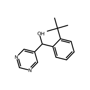 CC(C)(C)c1ccccc1C(O)c1cncnc1